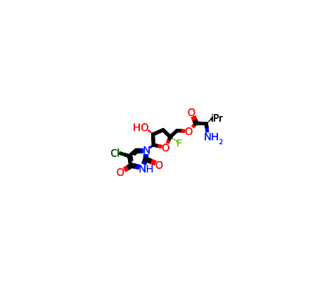 CC(C)[C@H](N)C(=O)OC[C@]1(F)C[C@@H](O)[C@H](n2cc(Cl)c(=O)[nH]c2=O)O1